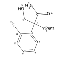 CCCCCC(CO)(C(N)=O)c1ccccc1F